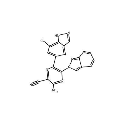 N#Cc1nc(-c2cc(Cl)c3[nH]ncc3c2)c(-n2cc3ccccc3n2)nc1N